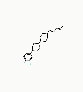 C/C=C/C=C/C1CCC(C2CCC(c3cc(F)c(F)c(F)c3)CC2)CC1